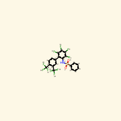 O=S(=O)(Nc1c(F)c(F)c(F)c(F)c1-c1ccc(C(F)(F)F)c(C(F)(F)F)c1)c1ccccc1